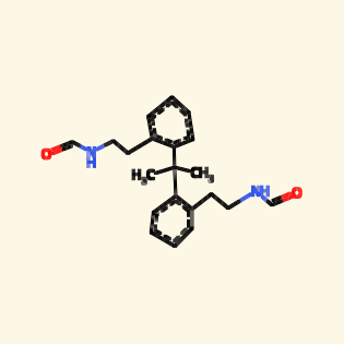 CC(C)(c1ccccc1CCNC=O)c1ccccc1CCNC=O